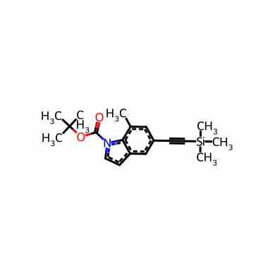 Cc1cc(C#C[Si](C)(C)C)cc2ccn(C(=O)OC(C)(C)C)c12